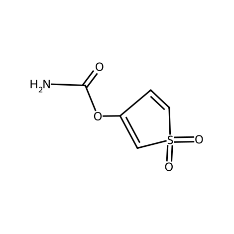 NC(=O)OC1=CS(=O)(=O)C=C1